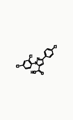 O=C(O)c1cc(-c2ccc(Cl)cc2)nn1-c1ccc(Cl)cc1Cl